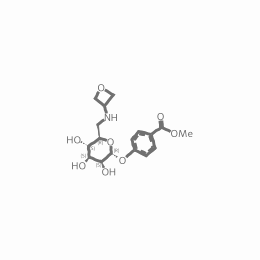 COC(=O)c1ccc(O[C@H]2O[C@H](CNC3COC3)[C@@H](O)[C@H](O)[C@@H]2O)cc1